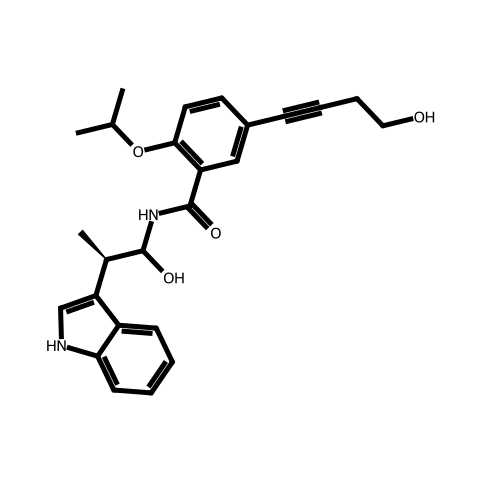 CC(C)Oc1ccc(C#CCCO)cc1C(=O)NC(O)[C@H](C)c1c[nH]c2ccccc12